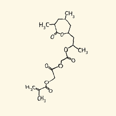 C=C(C)C(=O)OCC(=O)OCC(=O)OC(C)CC1CC(C)CC(C)C(=O)O1